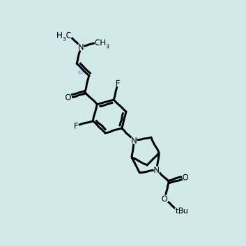 CN(C)/C=C/C(=O)c1c(F)cc(N2CC3CC2CN3C(=O)OC(C)(C)C)cc1F